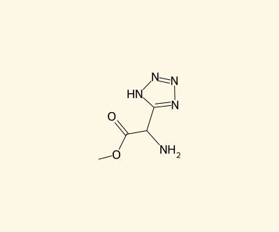 COC(=O)C(N)c1nnn[nH]1